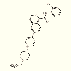 CC(C)c1ccccc1NC(=O)c1ccnc2cc(C3=CC[C@@H](C4CCC(CC(=O)O)CC4)C=C3)ccc12